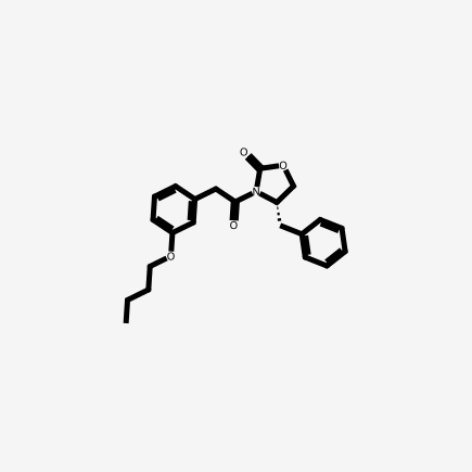 CCCCOc1cccc(CC(=O)N2C(=O)OC[C@@H]2Cc2ccccc2)c1